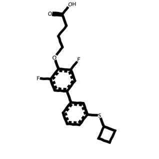 O=C(O)CCCOc1c(F)cc(-c2cccc(SC3CCC3)c2)cc1F